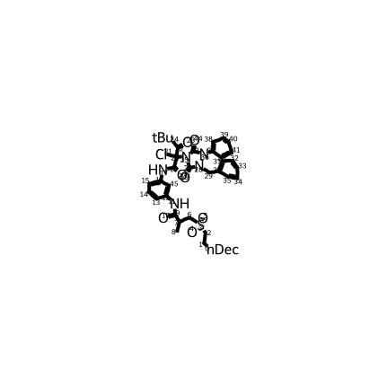 CCCCCCCCCCCCS(=O)(=O)CC(C)C(=O)Nc1cccc(NC(=O)C(Cl)(C(=O)C(C)(C)C)n2c(=O)n(Cc3ccccc3)n(-c3ccccc3)c2=O)c1